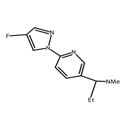 CCC(NC)c1ccc(-n2cc(F)cn2)nc1